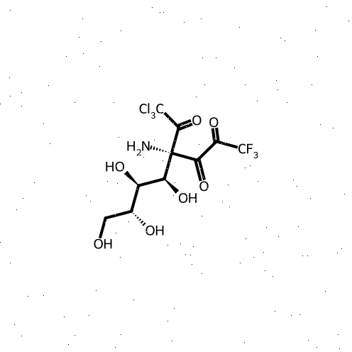 N[C@@](C(=O)C(=O)C(F)(F)F)(C(=O)C(Cl)(Cl)Cl)[C@@H](O)[C@H](O)[C@H](O)CO